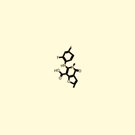 Cc1cc2c(=O)n(C)c(Nc3ccc(I)cc3F)c(C(=O)O)c2o1